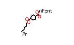 CCCCCOC(=O)C1CCC(C(=O)OCCCCCC(C)C)CC1